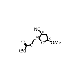 CO[C@@H]1C[C@H](C#N)[C@@H](COC(=O)C(C)(C)C)O1